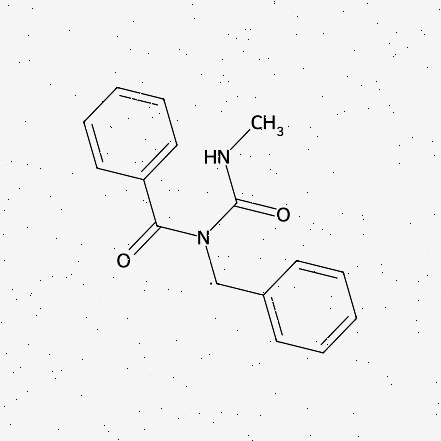 CNC(=O)N([CH]c1ccccc1)C(=O)c1ccccc1